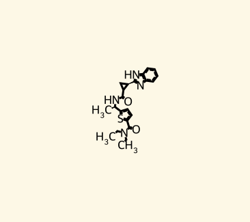 CCN(CC)C(=O)c1ccc([C@@H](C)NC(=O)C2C[C@H]2c2nc3ccccc3[nH]2)s1